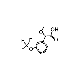 CO[C@@H](C(=O)O)c1cccc(OC(F)(F)F)c1